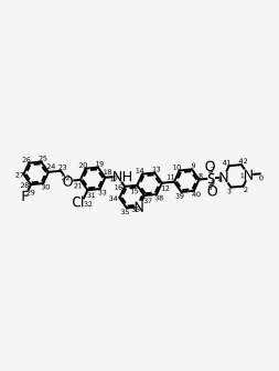 CN1CCN(S(=O)(=O)c2ccc(-c3ccc4c(Nc5ccc(OCc6cccc(F)c6)c(Cl)c5)ccnc4c3)cc2)CC1